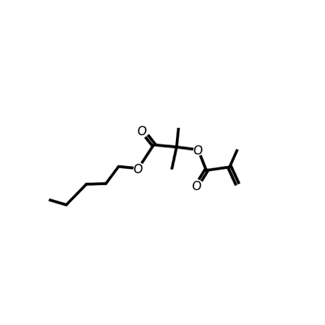 C=C(C)C(=O)OC(C)(C)C(=O)OCCCCC